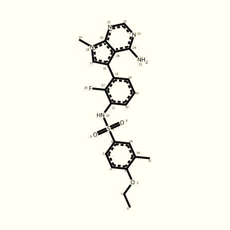 CCOc1ccc(S(=O)(=O)Nc2cccc(-c3cn(C)c4ncnc(N)c34)c2F)cc1C